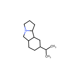 CC(C)C1CCC2CN3CCCC3C2C1